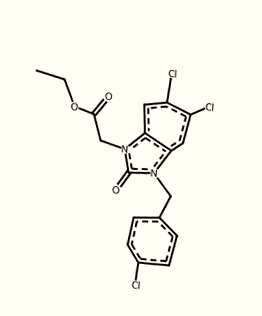 CCOC(=O)Cn1c(=O)n(Cc2ccc(Cl)cc2)c2cc(Cl)c(Cl)cc21